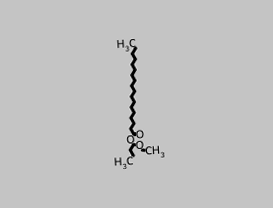 CCCCCCCCCCCCCCCCCC(=O)OC(CCC)OCC